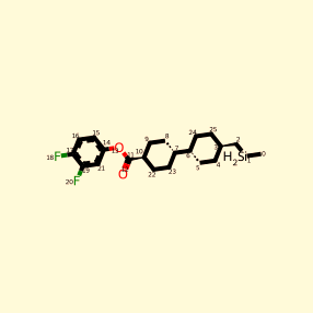 C[SiH2]C[C@H]1CC[C@H]([C@H]2CC[C@H](C(=O)Oc3ccc(F)c(F)c3)CC2)CC1